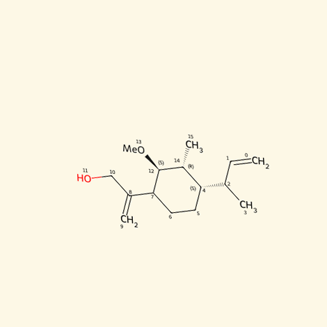 C=CC(C)[C@@H]1CCC(C(=C)CO)[C@@H](OC)[C@@H]1C